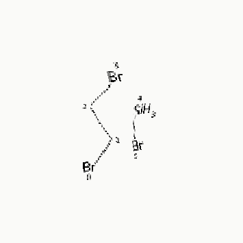 BrCCBr.[SiH3]Br